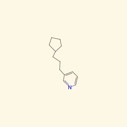 c1cncc(CCCC2CCCC2)c1